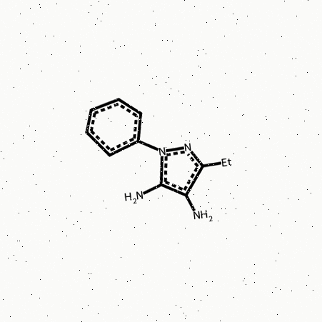 CCc1nn(-c2ccccc2)c(N)c1N